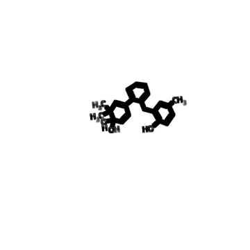 Cc1ccc(O)c(Cc2ccccc2C2=CC(C)(C)C(O)(O)C=C2)c1